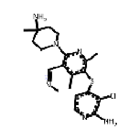 C/N=C\c1c(N2CCC(C)(N)CC2)nc(C)c(Sc2ccnc(N)c2Cl)c1C